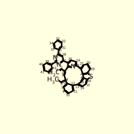 C=Cc1c/c(=C\C)c2ccccc2c2ccc3sc4cccc(c5ccc(-c6cc(-c7ccccc7)nc(-c7ccccc7)n6)c1n5)c4c3c2